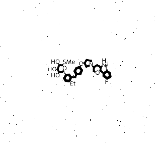 CCc1ccc([C@@H]2O[C@H](SC)[C@@H](O)[C@H](O)[C@H]2O)cc1Cc1ccc(OC2CCN(C3COC(c4cc(F)ccc4F)C(N)C3)C2)cc1